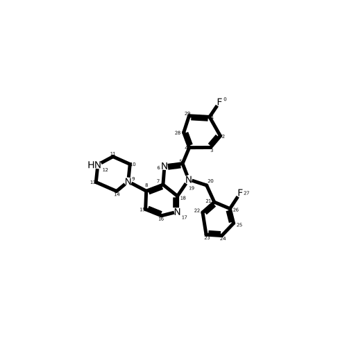 Fc1ccc(-c2nc3c(N4CCNCC4)ccnc3n2Cc2ccccc2F)cc1